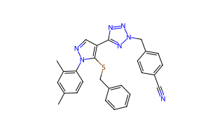 Cc1ccc(-n2ncc(-c3nnn(Cc4ccc(C#N)cc4)n3)c2SCc2ccccc2)c(C)c1